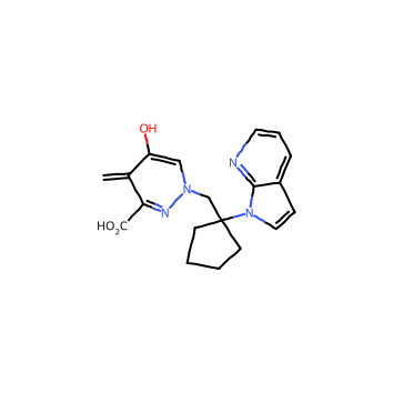 C=C1C(O)=CN(CC2(n3ccc4cccnc43)CCCC2)N=C1C(=O)O